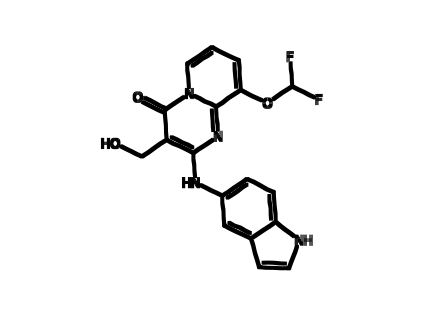 O=c1c(CO)c(Nc2ccc3[nH]ccc3c2)nc2c(OC(F)F)cccn12